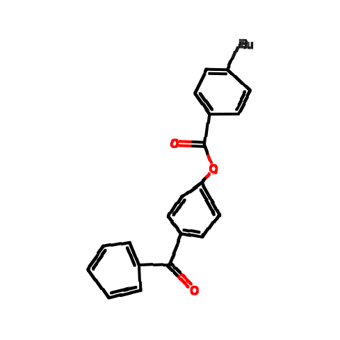 CCC(C)c1ccc(C(=O)Oc2ccc(C(=O)c3ccccc3)cc2)cc1